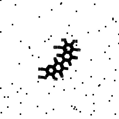 CCOc1c(O)cc2c(c1C(C)C)C(=O)C(C)=C(C1=C(C)C(=O)c3c(c(C=O)c(O)c(O)c3C(C)C)C1=O)C2=O